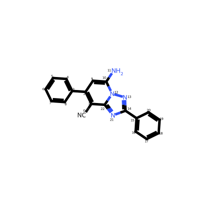 N#Cc1c(-c2ccccc2)cc(N)n2nc(-c3ccccc3)nc12